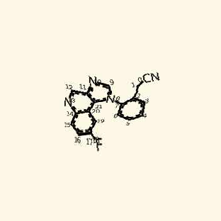 N#CCc1ccccc1-n1cnc2cnc3ccc(F)cc3c21